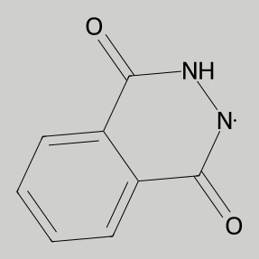 O=C1[N]NC(=O)c2ccccc21